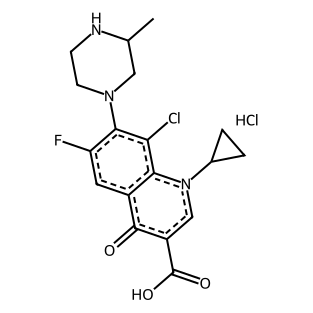 CC1CN(c2c(F)cc3c(=O)c(C(=O)O)cn(C4CC4)c3c2Cl)CCN1.Cl